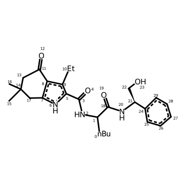 CCCCC(NC(=O)c1[nH]c2c(c1CC)C(=O)CC(C)(C)C2)C(=O)N[C@@H](CO)c1ccccc1